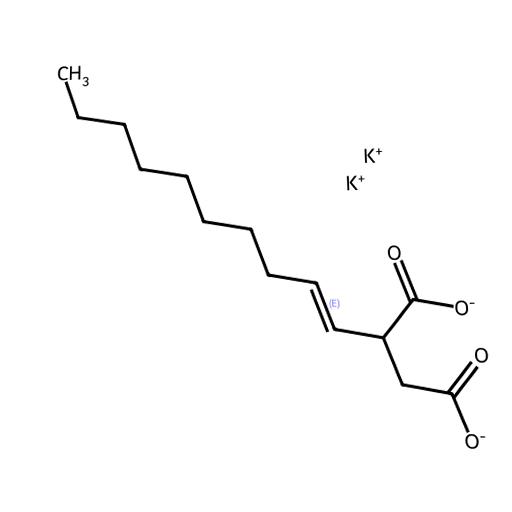 CCCCCCCC/C=C/C(CC(=O)[O-])C(=O)[O-].[K+].[K+]